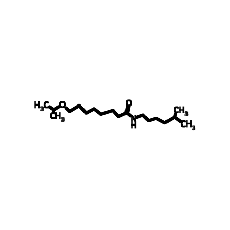 CC(C)CCCCNC(=O)CCCCCCCOC(C)C